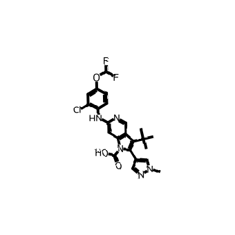 Cn1cc(-c2c(C(C)(C)C)c3cnc(Nc4ccc(OC(F)F)cc4Cl)cc3n2C(=O)O)cn1